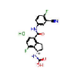 Cl.N#Cc1cc(NC(=O)c2ccc(F)c3c2CC[C@@H]3NC(=O)O)ccc1F